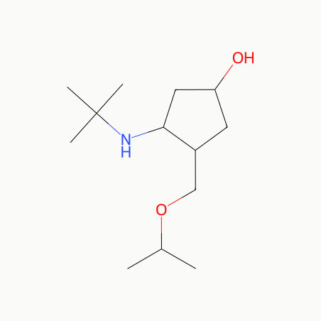 CC(C)OCC1CC(O)CC1NC(C)(C)C